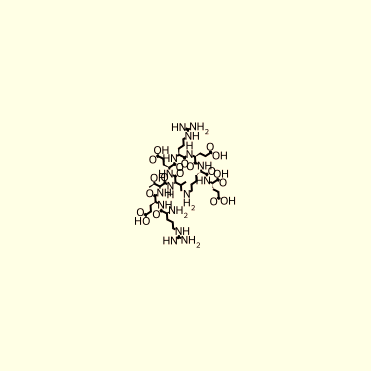 CC(C)[C@H](NC(=O)[C@@H](NC(=O)[C@H](CCC(=O)O)NC(=O)[C@@H](N)CCCNC(=N)N)[C@@H](C)O)C(=O)N[C@@H](CCC(=O)O)C(=O)N[C@@H](CCCNC(=N)N)C(=O)N[C@@H](CCC(=O)O)C(=O)N[C@@H](CCCCN)C(=O)N[C@@H](CCC(=O)O)C(=O)O